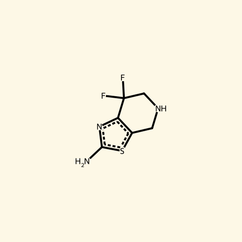 Nc1nc2c(s1)CNCC2(F)F